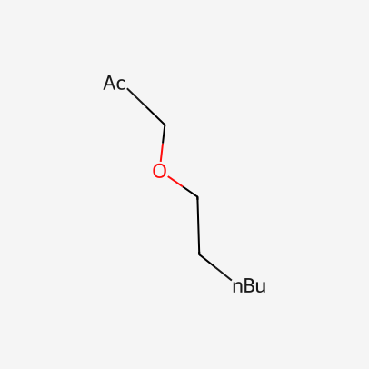 CCCCCCOCC(C)=O